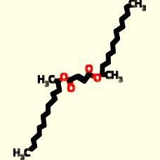 CCCCCCCCCCCCC(C)OC(=O)/C=C/C(=O)OC(C)CCCCCCCCCCCC